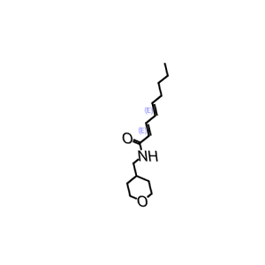 CCCC/C=C/C=C/C(=O)NCC1CCOCC1